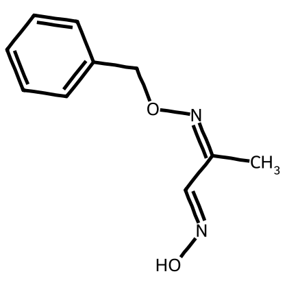 CC(C=NO)=NOCc1ccccc1